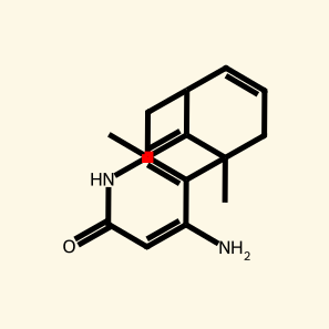 CC=C1C2C=CCC1(C)c1c(N)cc(=O)[nH]c1C2